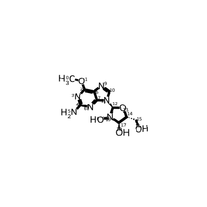 COc1nc(N)nc2c1ncn2[C@H]1O[C@H](CO)[C@@H](O)N1O